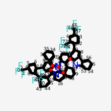 FC(F)(F)c1ccc(-c2ccc3c(c2)c2ccccc2n3-c2ccccc2-c2c(-c3nc(-c4ccccc4)cc(-c4ccccc4)n3)cccc2-n2c3ccccc3c3cc(-c4ccc(C(F)(F)F)cc4C(F)(F)F)ccc32)c(C(F)(F)F)c1